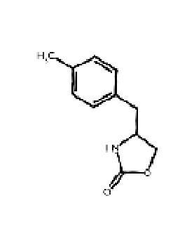 Cc1ccc(CC2COC(=O)N2)cc1